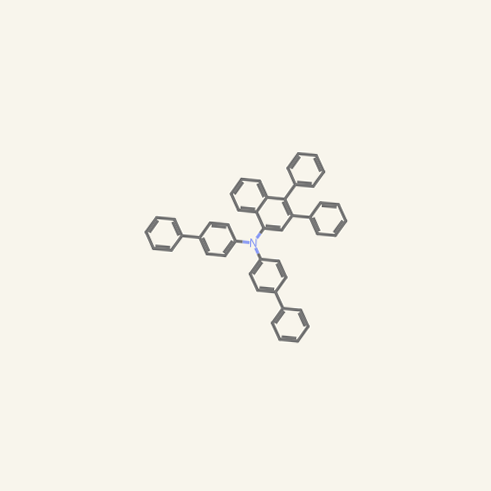 c1ccc(-c2ccc(N(c3ccc(-c4ccccc4)cc3)c3cc(-c4ccccc4)c(-c4ccccc4)c4ccccc34)cc2)cc1